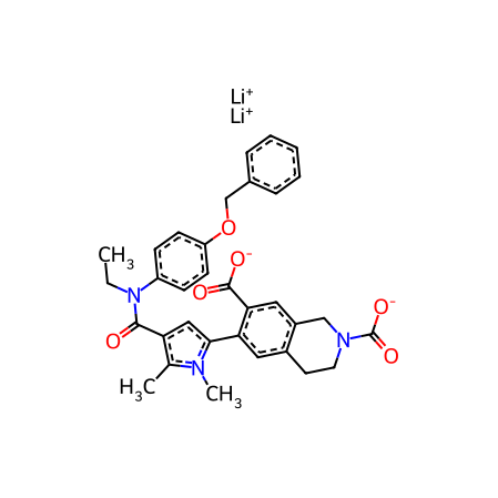 CCN(C(=O)c1cc(-c2cc3c(cc2C(=O)[O-])CN(C(=O)[O-])CC3)n(C)c1C)c1ccc(OCc2ccccc2)cc1.[Li+].[Li+]